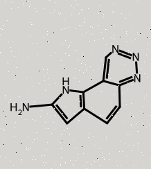 Nc1cc2ccc3nnncc3c2[nH]1